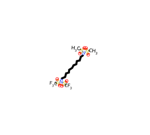 CS(=O)(=O)N(CCCCCCCCCCCCN(S(=O)(=O)C(F)(F)F)S(=O)(=O)C(F)(F)F)S(C)(=O)=O